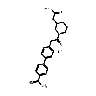 COC(=O)CC1CCCN(C(=O)Cc2ccc(-c3ccc(C(=N)N)cc3)cc2)C1.Cl